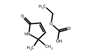 CC1(C)C=CC(=O)N1.CCOC(=O)O